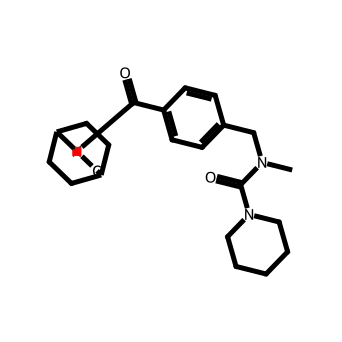 CN(Cc1ccc(C(=O)N2CC3CCC(CC3)C2)cc1)C(=O)N1CCCCC1